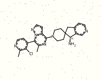 Cc1nccc(-c2c(C)nc(N3CCC4(CC3)Cc3ccncc3[C@H]4N)c3ccnn23)c1Cl